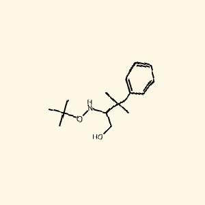 CC(C)(C)ONC(CO)C(C)(C)c1ccccc1